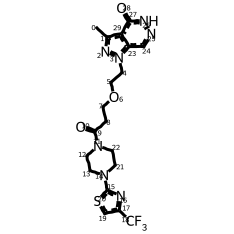 Cc1nn(CCOCCC(=O)N2CCN(c3nc(C(F)(F)F)cs3)CC2)c2cn[nH]c(=O)c12